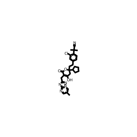 Cc1cnc2nc(CC3=C(O)CC(CCc4ccc(C(C)(C)C#N)c(Cl)c4)(C4CCCC4)OC3=O)nn2c1